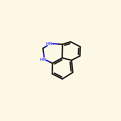 c1cc2c3c(cccc3c1)NCN2